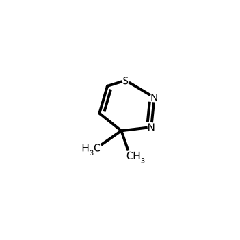 CC1(C)C=CSN=N1